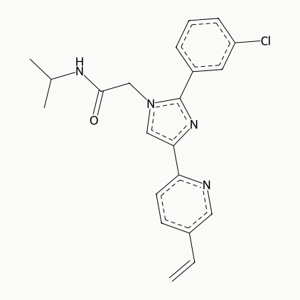 C=Cc1ccc(-c2cn(CC(=O)NC(C)C)c(-c3cccc(Cl)c3)n2)nc1